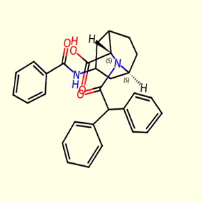 O=C(NC1CC2CC[C@@H](C1)N(C(=O)C(c1ccccc1)c1ccccc1)[C@@H]2C(=O)O)c1ccccc1